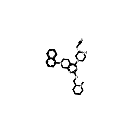 CN1CCCCC1COc1nc2c(c(N3CCN[C@@H](CC#N)C3)n1)CCN(c1cccc3ccccc13)C2